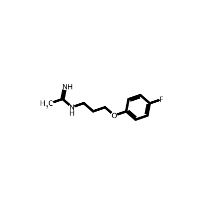 CC(=N)NCCCOc1ccc(F)cc1